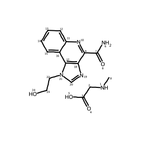 CNCC(=O)O.NC(=O)c1nc2ccccc2c2c1ncn2CCO